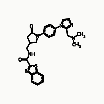 CN(C)Cc1nccn1-c1ccc(N2CC(CNC(=O)c3nc4ccccc4s3)CC2=O)cc1